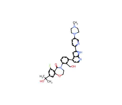 CN1CCN(c2ccc(-c3cc4c(-c5cccc(N6CCOc7cc(C(C)(C)O)cc(F)c7C6=O)c5CO)ccnc4[nH]3)nc2)CC1